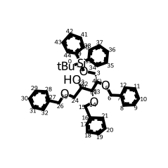 CC(C)(C)[Si](OC[C@H](OCc1ccccc1)[C@H](OCc1ccccc1)[C@H](O)COCc1ccccc1)(c1ccccc1)c1ccccc1